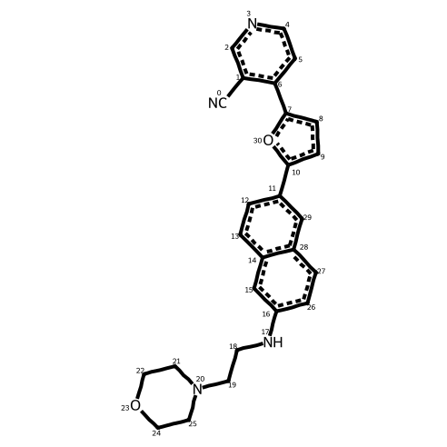 N#Cc1cnccc1-c1ccc(-c2ccc3cc(NCCN4CCOCC4)ccc3c2)o1